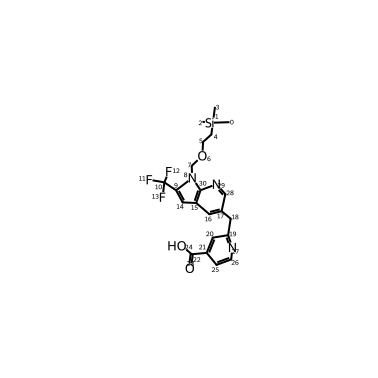 C[Si](C)(C)CCOCn1c(C(F)(F)F)cc2cc(Cc3cc(C(=O)O)ccn3)cnc21